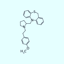 COc1ccc(CCN2CCCC2CN2c3ccccc3CSc3ccccc32)cc1